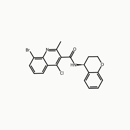 Cc1nc2c(Br)cccc2c(Cl)c1C(=O)N[C@H]1CCOc2ccccc21